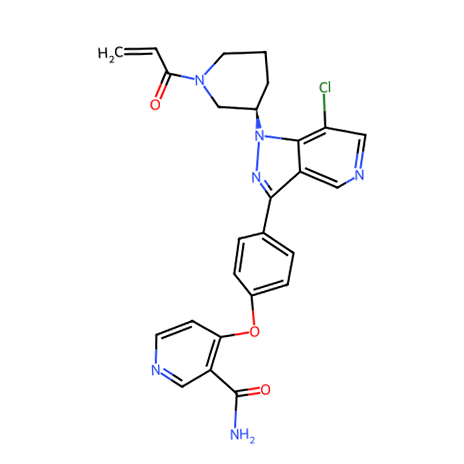 C=CC(=O)N1CCC[C@@H](n2nc(-c3ccc(Oc4ccncc4C(N)=O)cc3)c3cncc(Cl)c32)C1